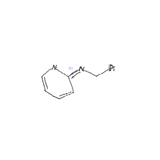 CC(C)C/N=C1\C=CC=C[N]1